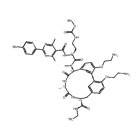 Cc1nc(-c2ccc(C(C)(C)C)cc2)nc(C)c1C(=O)N[C@@H](CCNC(=O)OC(C)(C)C)C(=O)N(C)[C@@H]1C(=O)N[C@@H](C)C(=O)N[C@H](C(=O)NCC#N)Cc2ccc(OCCN)c(c2)-c2cc1ccc2OCCN